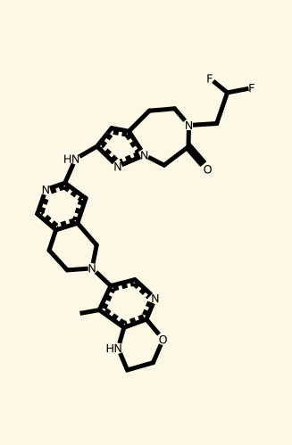 Cc1c(N2CCc3cnc(Nc4cc5n(n4)CC(=O)N(CC(F)F)CC5)cc3C2)cnc2c1NCCO2